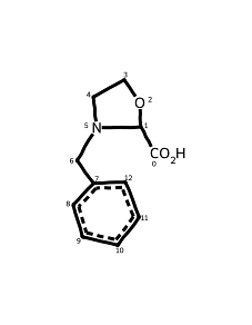 O=C(O)C1OCCN1Cc1ccccc1